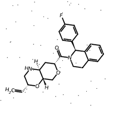 C=C[C@@H]1CN[C@H]2C[C@H](C(=O)N3CCc4ccccc4[C@@H]3c3ccc(F)cc3)OC[C@@H]2O1